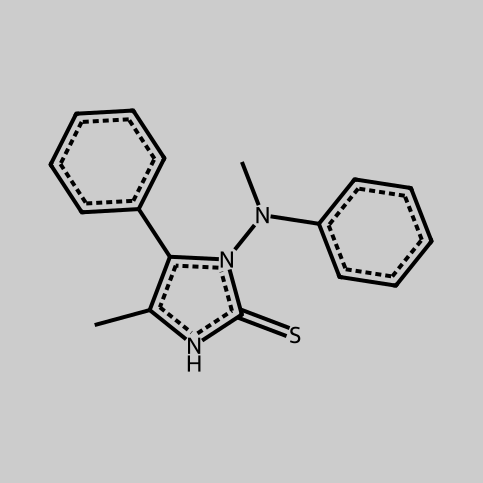 Cc1[nH]c(=S)n(N(C)c2ccccc2)c1-c1ccccc1